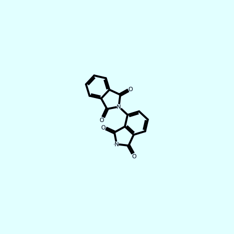 O=C1[N]C(=O)c2c1cccc2N1C(=O)c2ccccc2C1=O